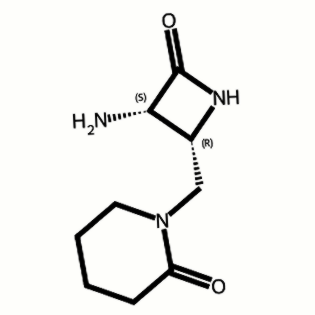 N[C@@H]1C(=O)N[C@@H]1CN1CCCCC1=O